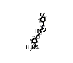 COc1ccc(/C=C/C(=O)NCCOc2cccc(C(N)=O)c2)cc1